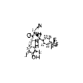 N#CCNC(=O)[C@H](Cc1cc(I)c(O)c(I)c1)NC(=O)c1ccc(C(F)(F)F)cc1